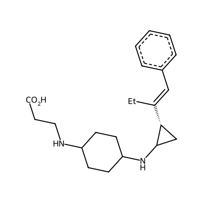 CC/C(=C\c1ccccc1)[C@@H]1CC1NC1CCC(NCCC(=O)O)CC1